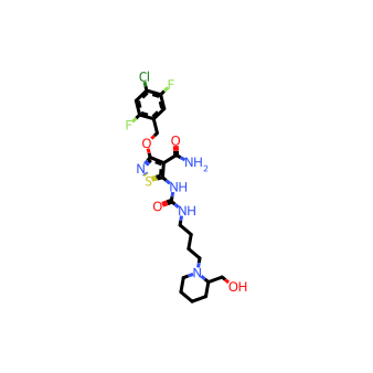 NC(=O)c1c(OCc2cc(F)c(Cl)cc2F)nsc1NC(=O)NCCCCN1CCCCC1CO